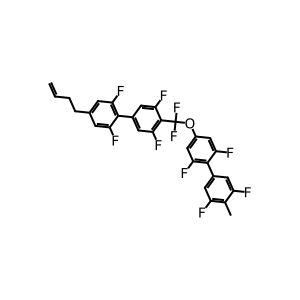 C=CCCc1cc(F)c(-c2cc(F)c(C(F)(F)Oc3cc(F)c(-c4cc(F)c(C)c(F)c4)c(F)c3)c(F)c2)c(F)c1